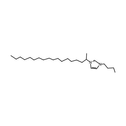 CCCCCCCCCCCCCCCCC(C)[n+]1ccn(CCCC)c1